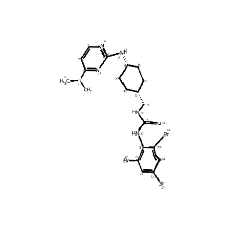 CN(C)c1ccnc(N[C@H]2CC[C@@H](CNC(=O)Nc3c(Br)cc(Br)cc3Br)CC2)n1